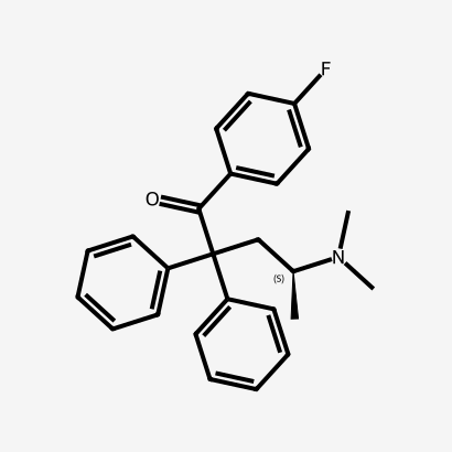 C[C@@H](CC(C(=O)c1ccc(F)cc1)(c1ccccc1)c1ccccc1)N(C)C